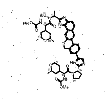 CC[C@H](C)N(C(=O)[C@@H](NC(=O)OC)C1C[C@@H](C)O[C@H](C)C1)[C@@H](C)c1nc2ccc3cc4c(cc3c2[nH]1)OCc1cc(-c2cnc([C@@H]3CC[C@H](C)N3C(=O)[C@@H](NC(=O)OC)C3C[C@@H](C)O[C@H](C)C3)[nH]2)ccc1-4